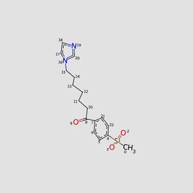 CS(=O)(=O)c1ccc(C(=O)CCCCCCn2ccnc2)cc1